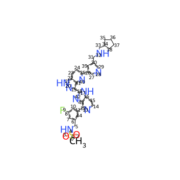 CS(=O)(=O)NCc1cc(F)cc(-c2nccc3[nH]c(-c4n[nH]c5ccc(-c6cncc(CNCC7CCCC7)c6)nc45)nc23)c1